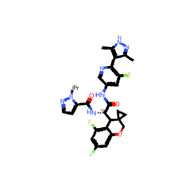 Cc1n[nH]c(C)c1-c1ncc(NC(=O)[C@@H](NC(=O)c2ccnn2C(C)C)C2c3c(F)cc(F)cc3OCC23CC3)cc1F